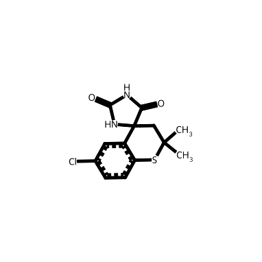 CC1(C)CC2(NC(=O)NC2=O)c2cc(Cl)ccc2S1